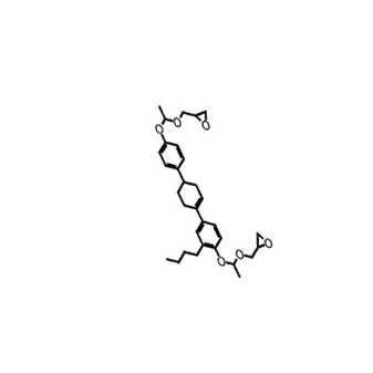 CCCCc1cc(C2=CCC(c3ccc(OC(C)OCC4CO4)cc3)CC2)ccc1OC(C)OCC1CO1